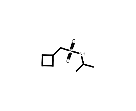 CC(C)NS(=O)(=O)CC1CCC1